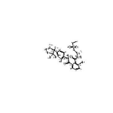 CCS(=O)(=O)C[C@H](C)NC(=O)c1c(I)cccc1C(=O)Nc1ccc(C(F)(C(F)F)C(F)(F)F)cc1C